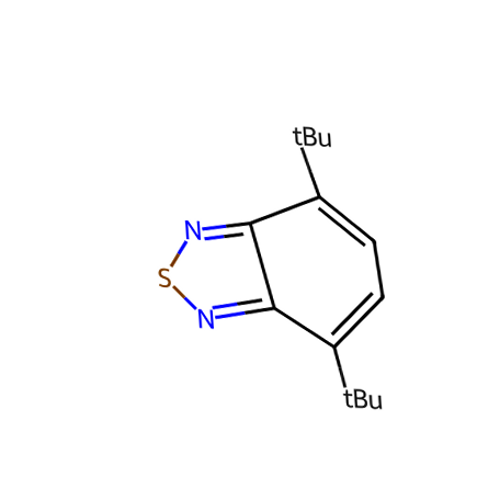 CC(C)(C)c1ccc(C(C)(C)C)c2nsnc12